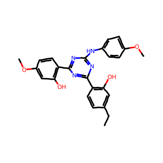 CCc1ccc(-c2nc(Nc3ccc(OC)cc3)nc(-c3ccc(OC)cc3O)n2)c(O)c1